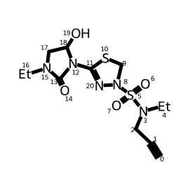 C#CCN(CC)S(=O)(=O)N1CSC(N2C(=O)N(CC)CC2O)=N1